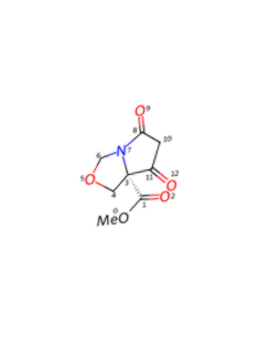 COC(=O)[C@]12COCN1C(=O)CC2=O